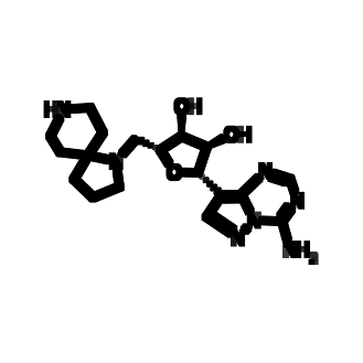 Nc1ncnc2c([C@@H]3O[C@H](CN4CCCC45CCNCC5)[C@@H](O)[C@H]3O)cnn12